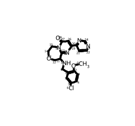 COc1ccc(Cl)cc1CNC1COCCn2c1nc(-c1ccncn1)cc2=O